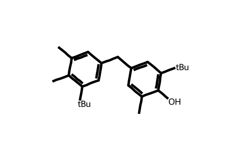 Cc1cc(Cc2cc(C)c(O)c(C(C)(C)C)c2)cc(C(C)(C)C)c1C